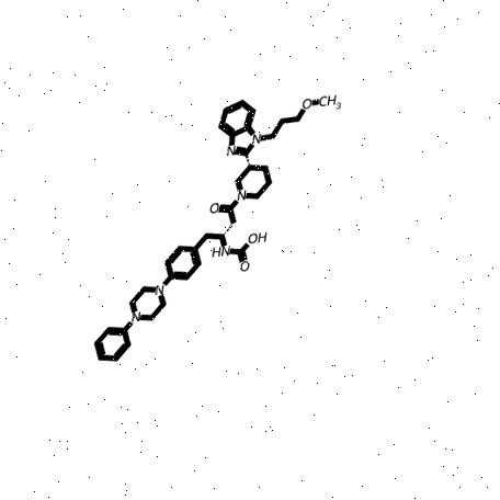 COCCCn1c([C@@H]2CCCN(C(=O)C[C@@H](Cc3ccc(N4CCN(c5ccccc5)CC4)cc3)NC(=O)O)C2)nc2ccccc21